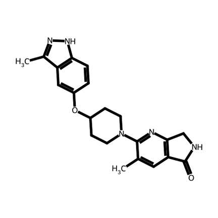 Cc1cc2c(nc1N1CCC(Oc3ccc4[nH]nc(C)c4c3)CC1)CNC2=O